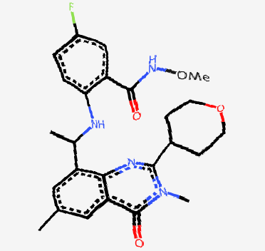 CONC(=O)c1cc(F)ccc1NC(C)c1cc(C)cc2c(=O)n(C)c(C3CCOCC3)nc12